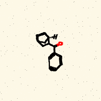 O=C(c1ccccc1)C1CC2C=C[C@@H]1C2